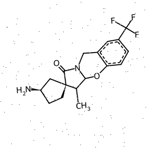 CC1C2Oc3ccc(C(F)(F)F)cc3CN2C(=O)[C@]12CC[C@@H](N)C2